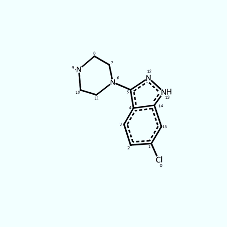 Clc1ccc2c(N3CC[N]CC3)n[nH]c2c1